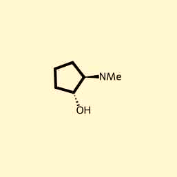 [CH2]N[C@@H]1CCC[C@H]1O